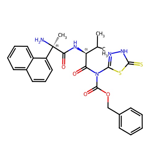 CC(C)[C@H](NC(=O)[C@](C)(N)c1cccc2ccccc12)C(=O)N(C(=O)OCc1ccccc1)c1n[nH]c(=S)s1